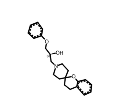 O[C@H](COc1ccccc1)CN1CCC2(CCc3ccccc3O2)CC1